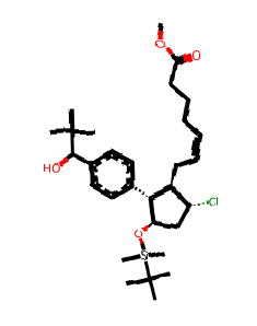 COC(=O)CCC/C=C\C[C@@H]1[C@@H](c2ccc(C(O)C(C)(C)C)cc2)[C@H](O[Si](C)(C)C(C)(C)C)C[C@H]1Cl